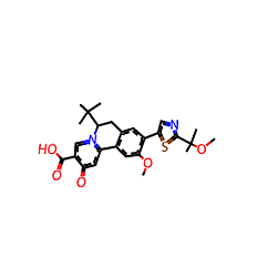 COc1cc2c(cc1-c1cnc(C(C)(C)OC)s1)CC(C(C)(C)C)n1cc(C(=O)O)c(=O)cc1-2